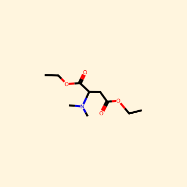 CCOC(=O)CC(C(=O)OCC)N(C)C